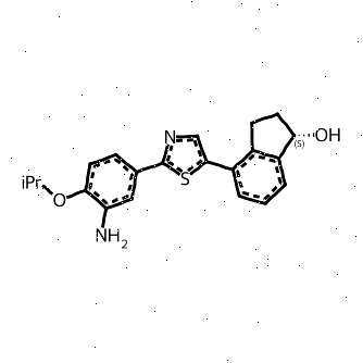 CC(C)Oc1ccc(-c2ncc(-c3cccc4c3CC[C@@H]4O)s2)cc1N